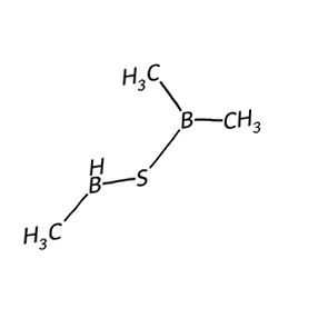 CBSB(C)C